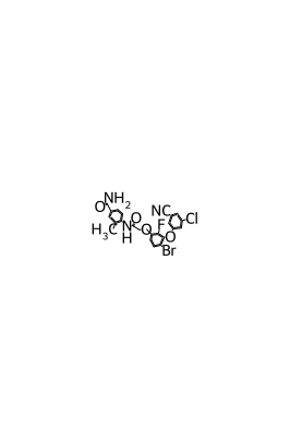 Cc1cc(C(N)=O)ccc1NC(=O)COc1ccc(Br)c(Oc2cc(Cl)cc(C#N)c2)c1F